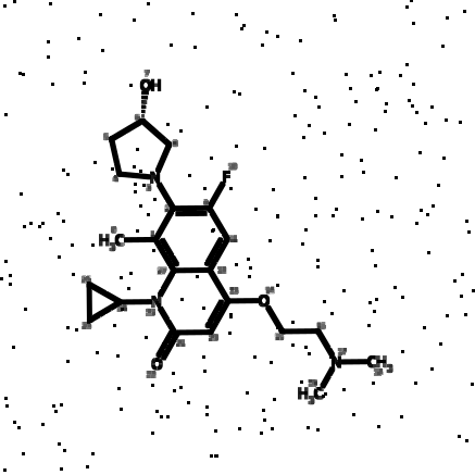 Cc1c(N2CC[C@H](O)C2)c(F)cc2c(OCCN(C)C)cc(=O)n(C3CC3)c12